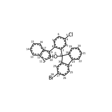 OC1(c2cc(Cl)ccc2-c2csc3ccccc23)c2ccccc2-c2ccc(Br)cc21